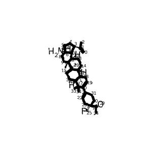 C=C(C)[C@@H]1CC[C@]2(N)CC[C@]3(C)[C@H](CC[C@@H]4[C@@]5(C)CC=C(C6=CC[C@](CF)(C(C)=O)CC6)C(C)(C)[C@@H]5CC[C@]43C)[C@@H]12